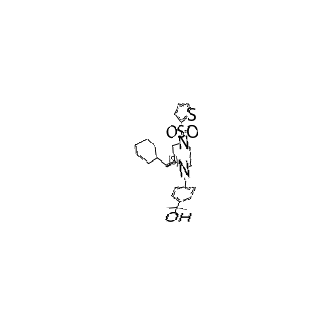 CC(C)(O)c1ccc(N2CCN(S(=O)(=O)c3cccs3)C[C@@H]2CC2CCCCC2)cc1